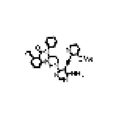 COc1cccnc1C#Cc1c(N)ncnc1NCCc1nc2cccc(Cl)c2c(=O)n1-c1ccccc1